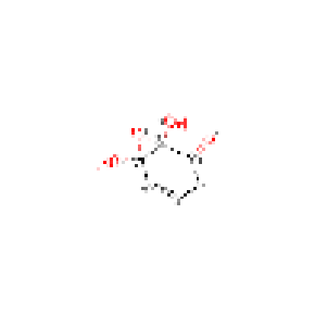 O=C1CC=CC2(O)OC12O